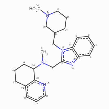 CN(Cc1nc2ccccc2n1CC1CCCN(C(=O)O)C1)C1CCCc2cccnc21